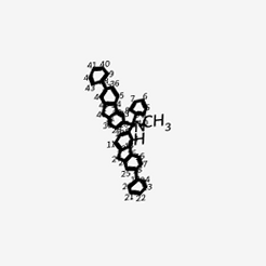 CNC(c1ccccc1)(c1ccc2c(c1)-c1ccc(-c3ccccc3)cc1C2)c1ccc2c(c1)-c1ccc(-c3ccccc3)cc1C2